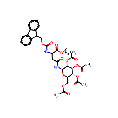 COC(=O)C(CC(=O)N[C@@H]1OC(COC(C)=O)[C@@H](OC(C)=O)[C@H](OC(C)=O)C1OC(C)=O)NC(=O)OCC1c2ccccc2-c2ccccc21